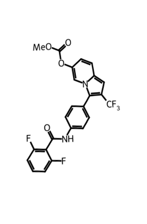 COC(=O)Oc1ccc2cc(C(F)(F)F)c(-c3ccc(NC(=O)c4c(F)cccc4F)cc3)n2c1